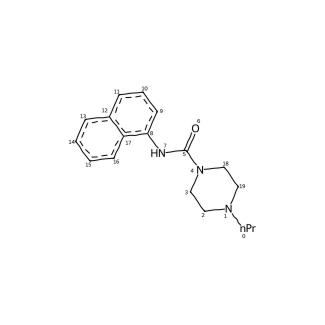 CCCN1CCN(C(=O)Nc2cccc3ccccc23)CC1